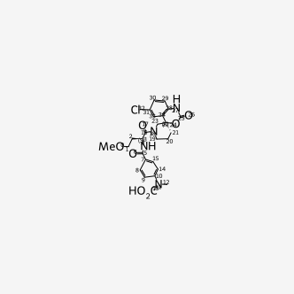 COCC[C@H](NC(=O)c1ccc(N(C)C(=O)O)cc1)C(=O)N1CCC[C@@]2(C1)OC(=O)Nc1ccc(Cl)cc12